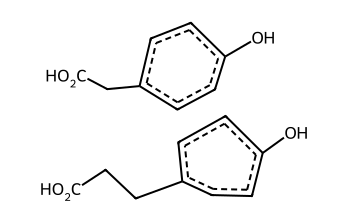 O=C(O)CCc1ccc(O)cc1.O=C(O)Cc1ccc(O)cc1